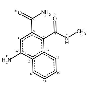 CNC(=O)c1c(C(N)=O)cc(N)c2ccccc12